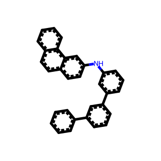 c1ccc(-c2cccc(-c3cccc(Nc4ccc5ccc6ccccc6c5c4)c3)c2)cc1